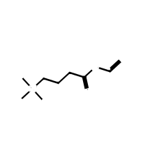 C=COC(=O)CCC[N+](C)(C)C